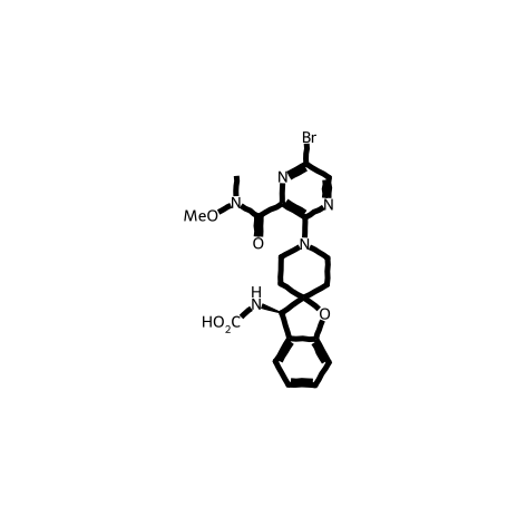 CON(C)C(=O)c1nc(Br)cnc1N1CCC2(CC1)Oc1ccccc1[C@H]2NC(=O)O